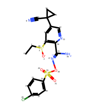 CC[S@+]([O-])c1cc(C2(C#N)CC2)cnc1/C(N)=N/OS(=O)(=O)c1ccc(Cl)cc1